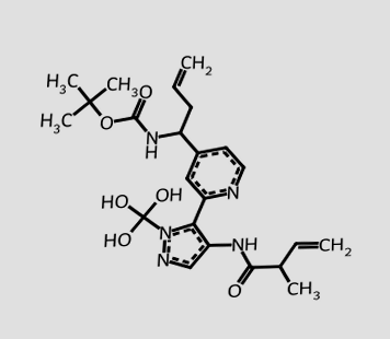 C=CCC(NC(=O)OC(C)(C)C)c1ccnc(-c2c(NC(=O)C(C)C=C)cnn2C(O)(O)O)c1